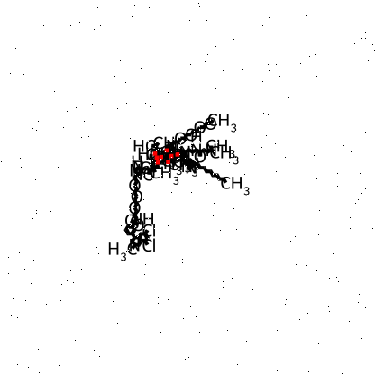 CCCCCCCCCCn1cc(COC(=O)C(C)(C)CC(C)(CC(C)(CC(C)(CC(C)(CC)C(=O)NCC(C)O)C(=O)Oc2cn(CCOCCOCCOCCNS(=O)(=O)c3cccc(C4CN(C)Cc5c(Cl)cc(Cl)cc54)c3)nn2)C(=O)OCc2cn(CCOCCOCCOCCOC)nn2)C(=O)OCc2cn(CCNC(=O)CCN(C)C)nn2)nn1